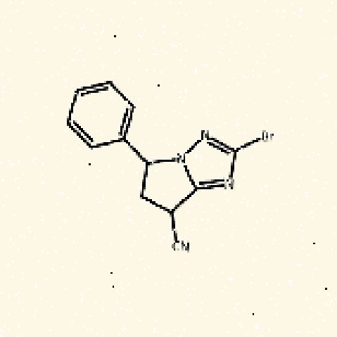 N#CC1CC(c2ccccc2)n2nc(Br)nc21